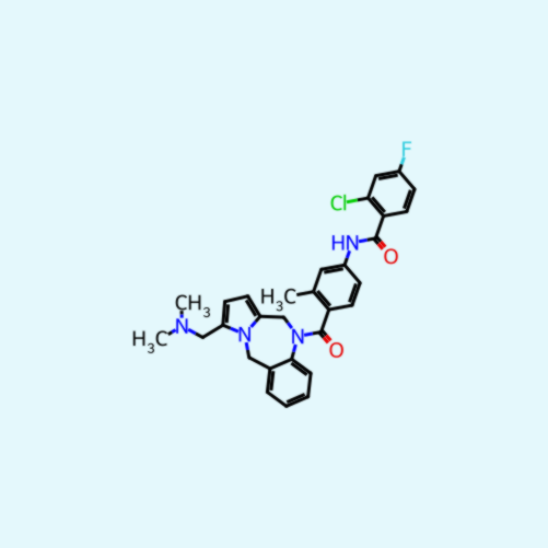 Cc1cc(NC(=O)c2ccc(F)cc2Cl)ccc1C(=O)N1Cc2ccc(CN(C)C)n2Cc2ccccc21